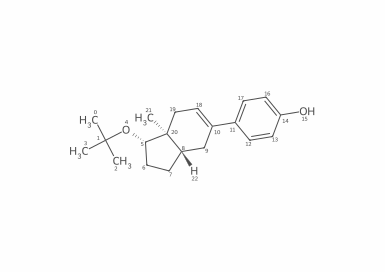 CC(C)(C)O[C@H]1CC[C@H]2CC(c3ccc(O)cc3)=CC[C@@]21C